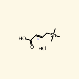 Cl.[CH3][Sn]([CH3])([CH3])[CH2]/C=C/C(=O)O